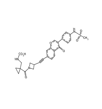 CS(=O)(=O)Nc1ccc(-c2coc3cc(C#CC4CN(C(=O)C5(CNC(=O)O)CC5)C4)ccc3c2=O)cc1